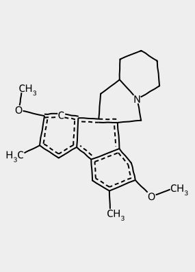 COc1cc2c3c(c4cc(OC)c(C)cc4c2cc1C)CN1CCCCC1C3